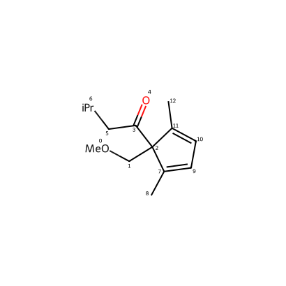 COCC1(C(=O)CC(C)C)C(C)=CC=C1C